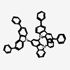 C1=CC2c3cc(-n4c5ccc(-c6ccccc6)cc5c5cc(-c6ccccc6)ccc54)cc(-n4c5ccc(-c6ccccc6)cc5c5cc(-c6ccccc6)ccc54)c3N(c3ccccc3)C2C=C1